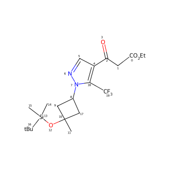 CCOC(=O)CC(=O)c1cnn(C2CC(C)(O[Si](C)(C)C(C)(C)C)C2)c1C(F)(F)F